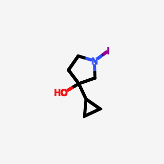 OC1(C2CC2)CCN(I)C1